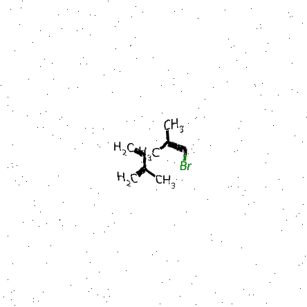 C=CC(=C)C.CC(C)=CBr